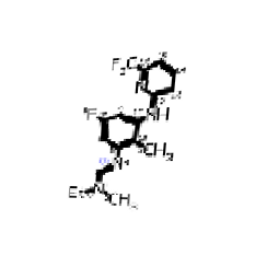 CCN(C)/C=N/c1cc(F)cc(Nc2cccc(C(F)(F)F)n2)c1C